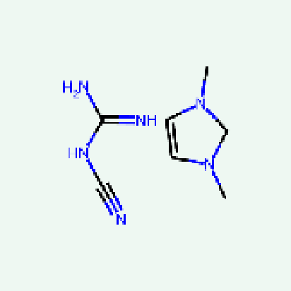 CN1C=CN(C)C1.N#CNC(=N)N